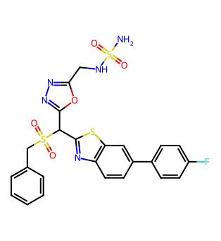 NS(=O)(=O)NCc1nnc(C(c2nc3ccc(-c4ccc(F)cc4)cc3s2)S(=O)(=O)Cc2ccccc2)o1